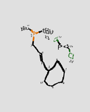 CC(C)(C)P(CC=CC1CCCCC1)C(C)(C)C.[Cl][Pd][Cl]